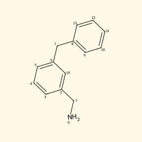 NCc1[c]ccc(Cc2ccccc2)c1